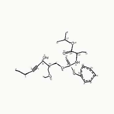 CCC#C[C@H](O)[C@@H](COP(=S)(NC(C)C(=O)OC(C)C)Oc1ccccc1)OC